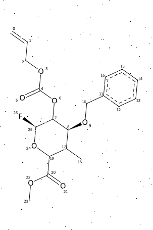 C=CCOC(=O)OC1[C@@H](OCc2ccccc2)C(C)C(C(=O)OC)O[C@H]1F